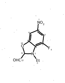 CCN1c2c(F)cc([N+](=O)[O-])cc2OC1C=O